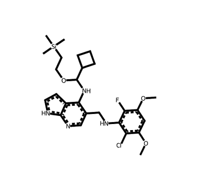 COc1cc(OC)c(Cl)c(NCc2cnc3[nH]ccc3c2NC(OCC[Si](C)(C)C)C2CCC2)c1F